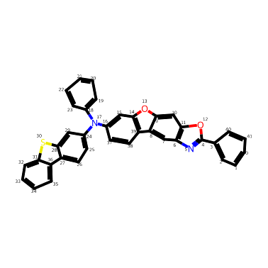 c1ccc(-c2nc3cc4c(cc3o2)oc2cc(N(c3ccccc3)c3ccc5c(c3)sc3ccccc35)ccc24)cc1